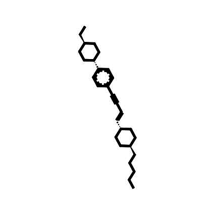 CCCCC[C@H]1CC[C@H](/C=C/C#Cc2ccc([C@H]3CC[C@H](CC)CC3)cc2)CC1